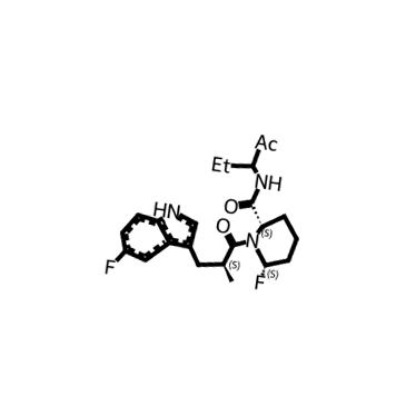 CCC(NC(=O)[C@@H]1CCC[C@H](F)N1C(=O)[C@@H](C)Cc1c[nH]c2ccc(F)cc12)C(C)=O